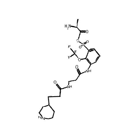 C[C@H](N)C(=O)OS(=O)(=O)c1cccc(NC(=O)CCNC(=O)CCC2CCNCC2)c1OC(F)(F)F